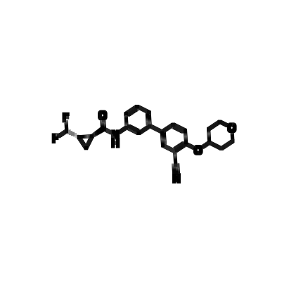 N#Cc1cc(-c2cccc(NC(=O)[C@H]3C[C@@H]3C(F)F)c2)ccc1OC1CCOCC1